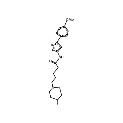 COc1ccc(-c2cc(NC(=O)CCCCN3CCC(C)CC3)n[nH]2)cc1